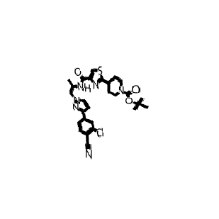 CC(Cn1ccc(-c2ccc(C#N)c(Cl)c2)n1)NC(=O)c1csc(C2CCN(C(=O)OC(C)(C)C)CC2)n1